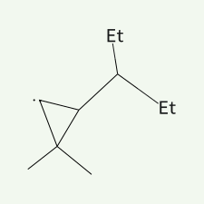 CCC(CC)C1[CH]C1(C)C